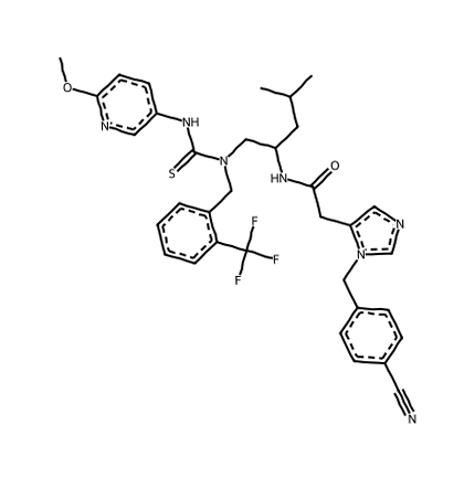 COc1ccc(NC(=S)N(Cc2ccccc2C(F)(F)F)CC(CC(C)C)NC(=O)Cc2cncn2Cc2ccc(C#N)cc2)cn1